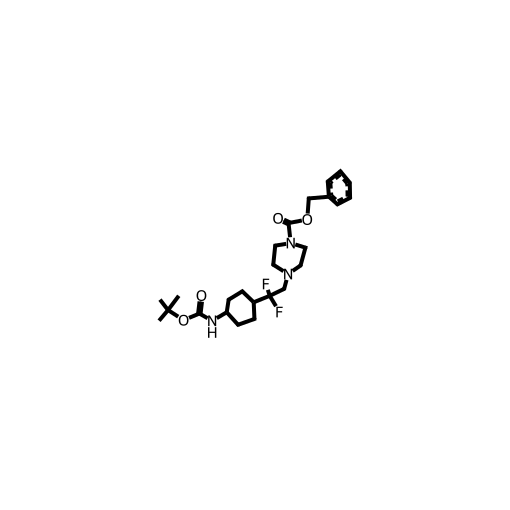 CC(C)(C)OC(=O)NC1CCC(C(F)(F)CN2CCN(C(=O)OCc3ccccc3)CC2)CC1